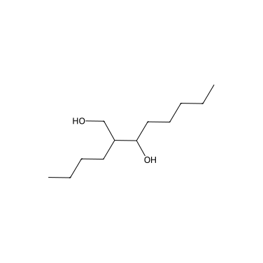 CCCCCC(O)C(CO)CCCC